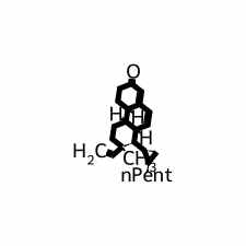 C=C[C@@]1(C)CC[C@H]2[C@@H](C=CC3=CC(=O)CC[C@@H]32)[C@@H]1[C@@H]1C[C@@H]1CCCCC